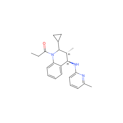 CCC(=O)N1c2ccccc2[C@H](Nc2cccc(C)n2)[C@@H](C)C1C1CC1